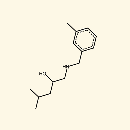 Cc1cccc(CNCC(O)CC(C)C)c1